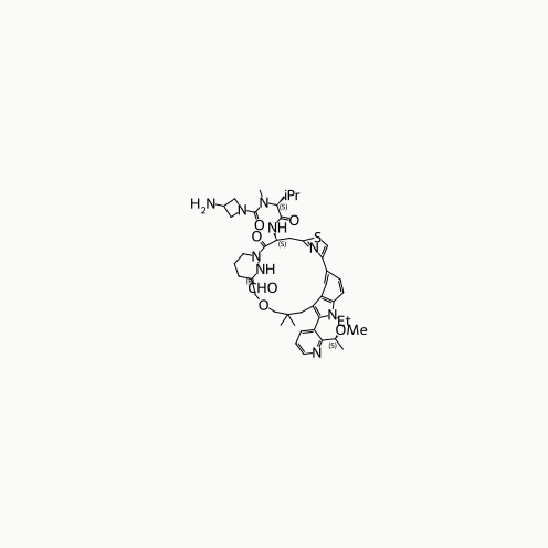 CCn1c(-c2cccnc2[C@H](C)OC)c2c3cc(ccc31)-c1csc(n1)C[C@H](NC(=O)[C@H](C(C)C)N(C)C(=O)N1CC(N)C1)C(=O)N1CCC[C@](C=O)(COCC(C)(C)C2)N1